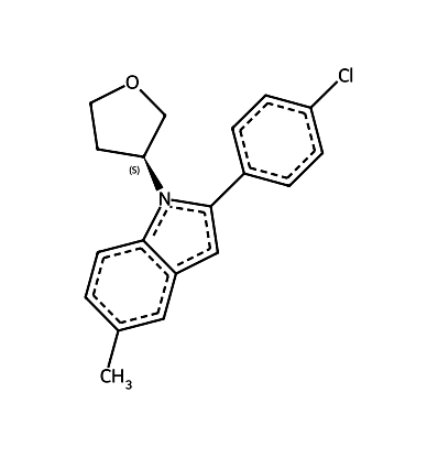 Cc1ccc2c(c1)cc(-c1ccc(Cl)cc1)n2[C@H]1CCOC1